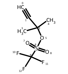 C#CC(C)(C)OS(=O)(=O)C(F)(F)F